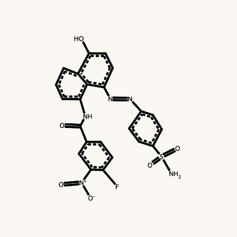 NS(=O)(=O)c1ccc(N=Nc2ccc(O)c3cccc(NC(=O)c4ccc(F)c([N+](=O)[O-])c4)c23)cc1